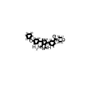 Nc1n[nH]c2c(-c3cccc(C(=O)N4CCOCC4)c3)cnc(-c3ccc(Oc4ccccc4)cc3)c12